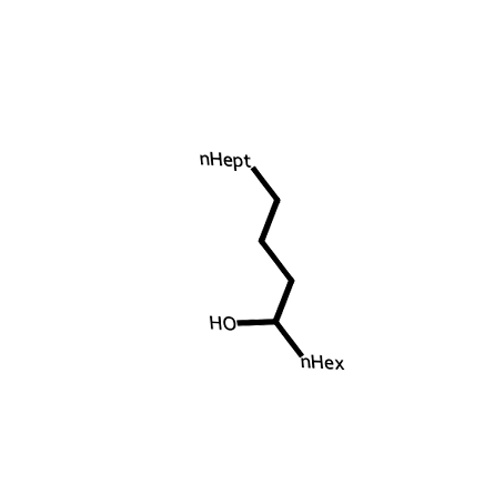 [CH2]CCCCCCCCCC(O)CCCCCC